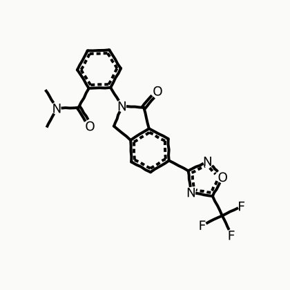 CN(C)C(=O)c1ccccc1N1Cc2ccc(-c3noc(C(F)(F)F)n3)cc2C1=O